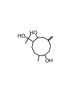 C=C1CCC(O)C(C)CCC(C(C)(C)O)C(O)C1